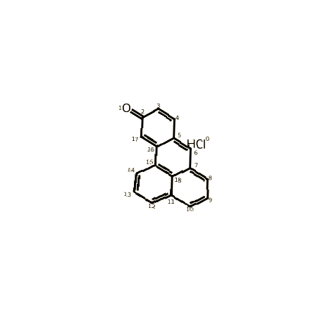 Cl.O=C1C=Cc2cc3cccc4cccc(c2=C1)c43